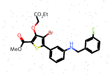 CCOC(=O)COc1c(C(=O)OC)sc(-c2cccc(NCc3cccc(F)c3)c2)c1Br